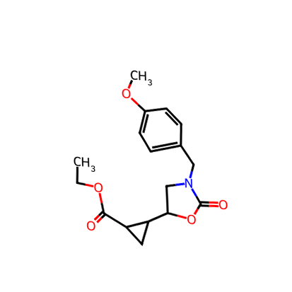 CCOC(=O)C1CC1C1CN(Cc2ccc(OC)cc2)C(=O)O1